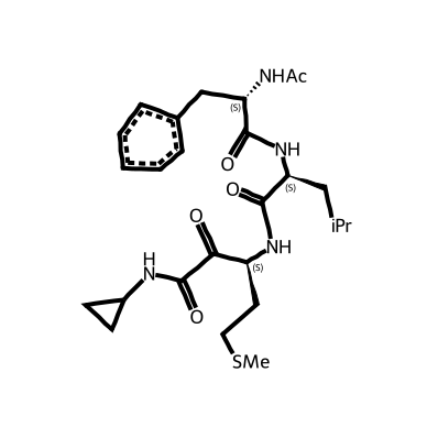 CSCC[C@H](NC(=O)[C@H](CC(C)C)NC(=O)[C@H](Cc1ccccc1)NC(C)=O)C(=O)C(=O)NC1CC1